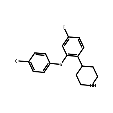 Fc1ccc(C2CCNCC2)c(Sc2ccc(Cl)cc2)c1